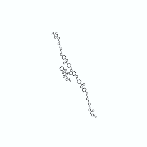 C=CC(=O)OCCOCCOCCOc1ccc(OC(=O)C2CCC(COc3ccc(OCC4CCC(C(=O)Oc5ccc(OCCOCCOCCOC(=O)C=C)cc5)CC4)c(/C=N/N(C(=O)C=C)c4nc5ccccc5s4)c3)CC2)cc1